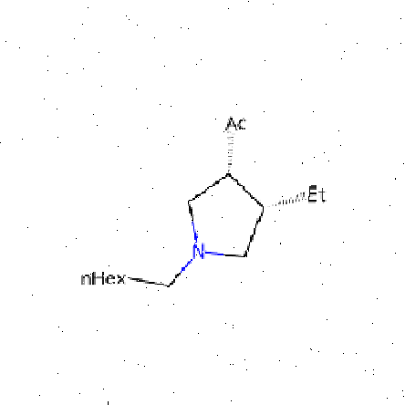 CCCCCCCN1C[C@@H](CC)[C@@H](C(C)=O)C1